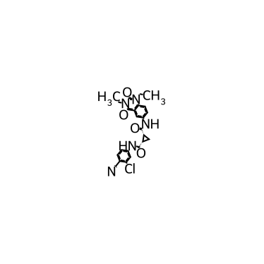 CCn1c(=O)c2cc(NC(=O)[C@@H]3C[C@@H]3C(=O)Nc3ccc(C#N)c(Cl)c3)ccc2n(CC)c1=O